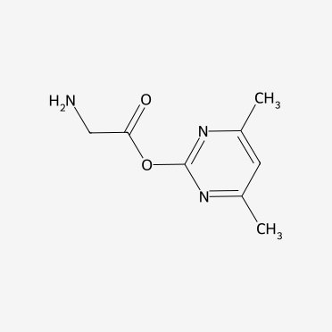 Cc1cc(C)nc(OC(=O)CN)n1